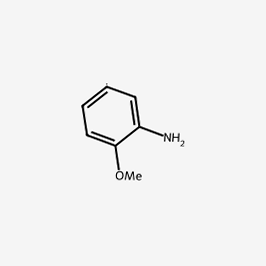 COc1cc[c]cc1N